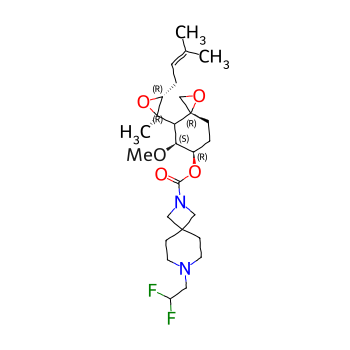 CO[C@H]1C([C@@]2(C)O[C@@H]2CC=C(C)C)[C@]2(CC[C@H]1OC(=O)N1CC3(CCN(CC(F)F)CC3)C1)CO2